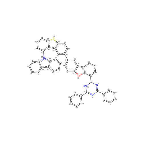 c1ccc(C2=NC(c3cccc4c3oc3ccc(-c5ccc6sc7cccc(-n8c9ccccc9c9ccccc98)c7c6c5)cc34)NC(c3ccccc3)=N2)cc1